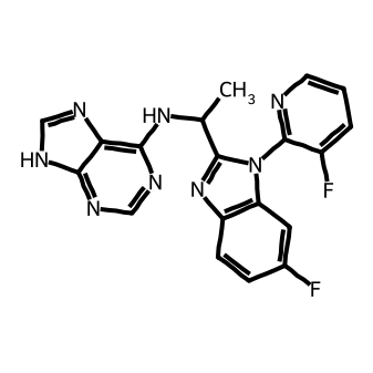 CC(Nc1ncnc2[nH]cnc12)c1nc2ccc(F)cc2n1-c1ncccc1F